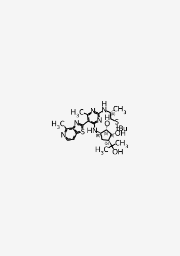 Cc1nc(N[C@H](C)CSC(C)(C)C)nc(N[C@@H]2C[C@H](C(C)(C)O)[C@@H](O)[C@H]2O)c1-c1nc2c(C)nccc2s1